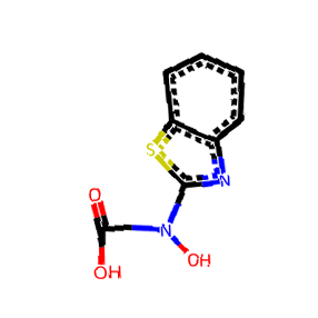 O=C(O)N(O)c1nc2ccccc2s1